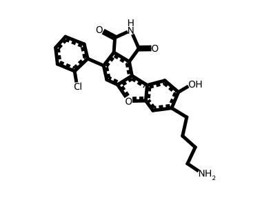 NCCCCc1cc2oc3cc(-c4ccccc4Cl)c4c(c3c2cc1O)C(=O)NC4=O